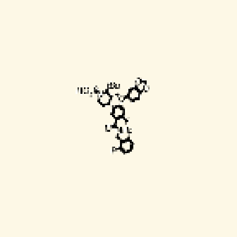 CC(C)(C)C1[C@@H](COc2ccc3c(c2)OCO3)[C@H](c2ccc(F)c(C(=O)NCc3c(F)cccc3F)c2)CCN1C(=O)O